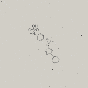 CC1(C)[C@@H](c2ccc(NS(=O)(=O)O)cc2)[C@@H]1c1nc(-c2ccccc2)no1